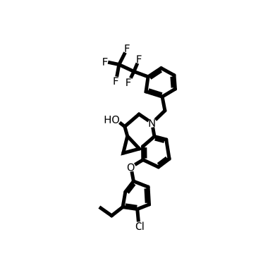 CCc1cc(Oc2cccc(N(Cc3cccc(C(F)(F)C(F)(F)F)c3)CC(O)C3CC3)c2)ccc1Cl